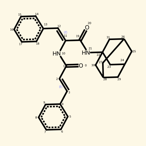 O=C(/C=C/c1ccccc1)N/C(=C\c1ccccc1)C(=O)NC12CC3CC(CC(C3)C1)C2